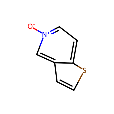 [O-][n+]1ccc2sccc2c1